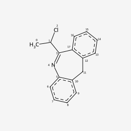 CC(Cl)C1=Nc2ccccc2Cc2ccccc21